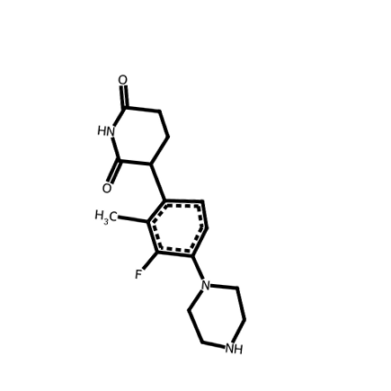 Cc1c(C2CCC(=O)NC2=O)ccc(N2CCNCC2)c1F